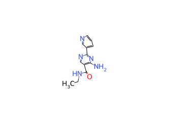 CCNC(=O)c1cnc(-c2cccnc2)nc1N